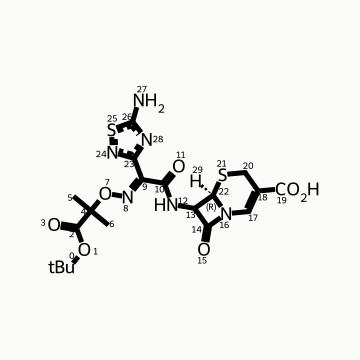 CC(C)(C)OC(=O)C(C)(C)ON=C(C(=O)NC1C(=O)N2C=C(C(=O)O)CS[C@H]12)c1nsc(N)n1